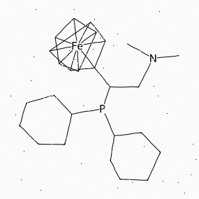 CN(C)CC(P(C1CCCCC1)C1CCCCC1)[C]12[CH]3[CH]4[CH]5[CH]1[Fe]45321678[CH]2[CH]1[CH]6[CH]7[CH]28